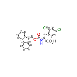 O=C(N[C@H](Cc1ccc(Cl)cc1Cl)C(=O)O)OCC1c2ccccc2-c2ccccc21